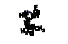 Cc1nn(-c2cc(N3CCN/N=C\CC(c4cncc(F)c4)NCC3)ncn2)c(C)c1C=O